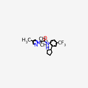 Cc1cnn(C(C)(C)C(=O)Nc2ccc(C(F)(F)F)cc2C2CCCC2)c1